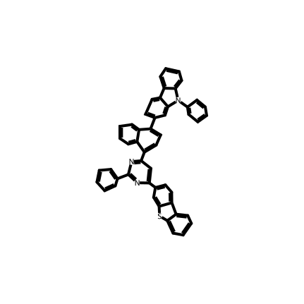 c1ccc(-c2nc(-c3ccc4c(c3)sc3ccccc34)cc(-c3ccc(-c4ccc5c6ccccc6n(-c6ccccc6)c5c4)c4ccccc34)n2)cc1